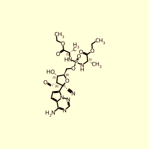 CCOC(=O)[C@H](C)NP(=O)(N[C@@H](C)C(=O)OCC)OC[C@H]1O[C@@](C#N)(c2ccc3c(N)ncnn23)[C@H](C=O)[C@@H]1O